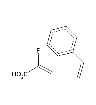 C=C(F)C(=O)O.C=Cc1ccccc1